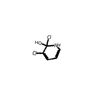 OC1(Cl)NC=CC=C1Cl